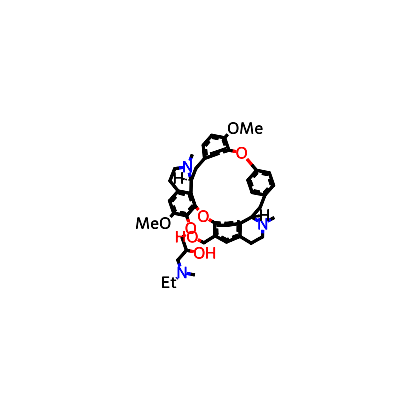 CCN(C)CC(O)COc1c(OC)cc2c3c1Oc1cc4c(cc1CO)CCN(C)[C@H]4Cc1ccc(cc1)Oc1cc(ccc1OC)C[C@@H]3N(C)CC2